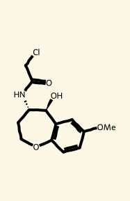 COc1ccc2c(c1)[C@H](O)[C@@H](NC(=O)CCl)CCO2